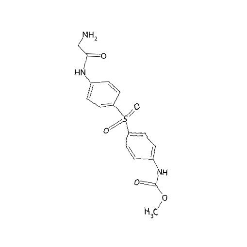 COC(=O)Nc1ccc(S(=O)(=O)c2ccc(NC(=O)CN)cc2)cc1